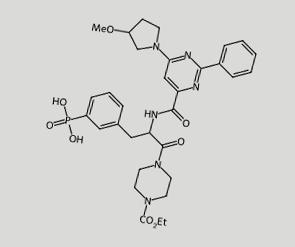 CCOC(=O)N1CCN(C(=O)C(Cc2cccc(P(=O)(O)O)c2)NC(=O)c2cc(N3CCC(OC)C3)nc(-c3ccccc3)n2)CC1